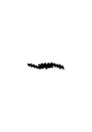 CCCCCCCCc1cc2cc3c(cc2s1)sc1c2cc4cc(CCCCCCCC)sc4cc2sc31